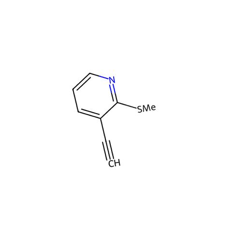 C#Cc1cccnc1SC